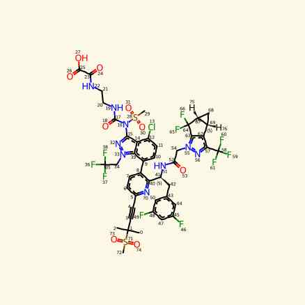 CC(C)(C#Cc1ccc(-c2ccc(Cl)c3c(N(C(=O)NCCNC(=O)C(=O)O)S(C)(=O)=O)nn(CC(F)(F)F)c23)c([C@H](Cc2cc(F)cc(F)c2)NC(=O)Cn2nc(C(F)(F)F)c3c2C(F)(F)[C@@H]2C[C@H]32)n1)S(C)(=O)=O